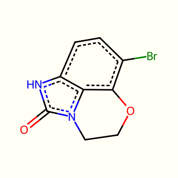 O=c1[nH]c2ccc(Br)c3c2n1CCO3